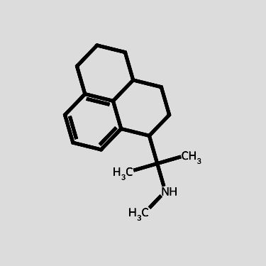 CNC(C)(C)C1CCC2CCCc3cccc1c32